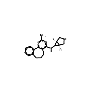 Nc1nc(NC2[C@H]3CNC[C@@H]23)c2c(n1)-c1ccccc1CCC2